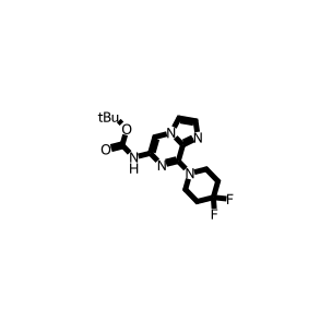 CC(C)(C)OC(=O)Nc1cn2ccnc2c(N2CCC(F)(F)CC2)n1